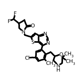 Cc1cc(Cl)cc(-c2ncnc3cc(CN4CC(C(F)F)CC4=O)sc23)c1CC1CNCC(C)(C)O1